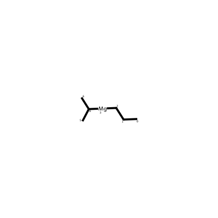 CC[CH2][Mg][CH](C)C